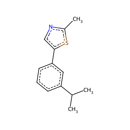 Cc1ncc(-c2cccc(C(C)C)c2)s1